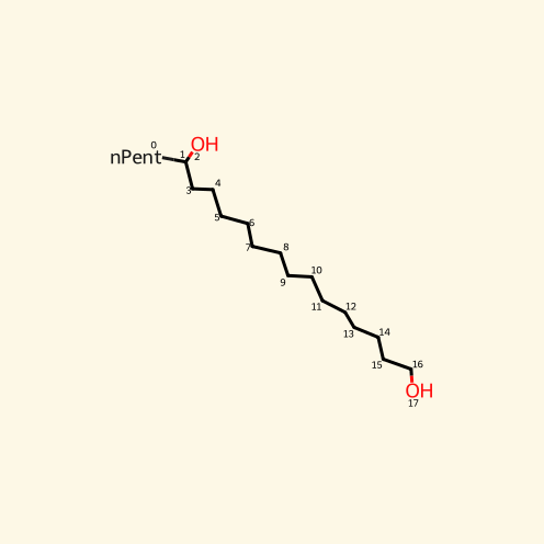 CCCCCC(O)CCCCCCCCCCCCCCO